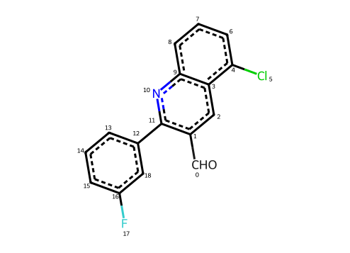 O=Cc1cc2c(Cl)cccc2nc1-c1cccc(F)c1